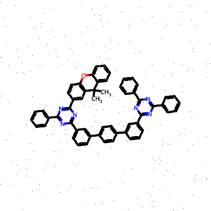 CC1(C)c2ccccc2Oc2ccc(-c3nc(-c4ccccc4)nc(-c4cccc(-c5ccc(-c6cccc(-c7nc(-c8ccccc8)nc(-c8ccccc8)n7)c6)cc5)c4)n3)cc21